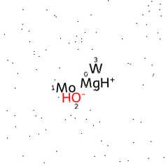 [MgH+].[Mo].[OH-].[W]